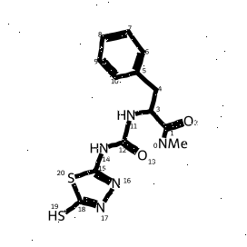 CNC(=O)C(Cc1ccccc1)NC(=O)Nc1nnc(S)s1